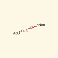 CCCCCCCCCCCCOCCOCCOCCOC(C)=O